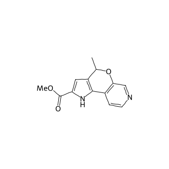 COC(=O)c1cc2c([nH]1)-c1ccncc1OC2C